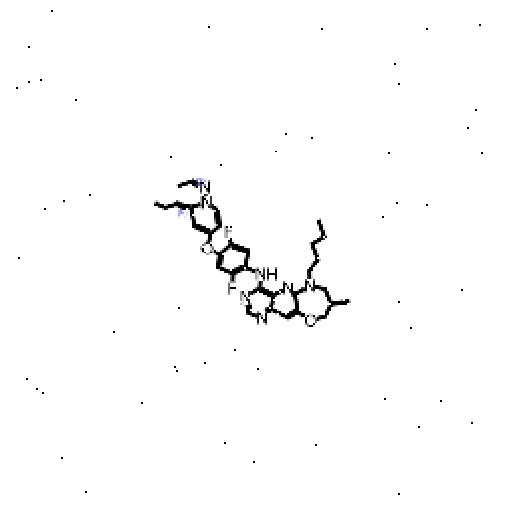 C/C=N\N1C=CC(Oc2cc(F)c(Nc3ncnc4cc5c(nc34)N(CCCCC)CC(C)CO5)cc2F)=C/C1=C\CC